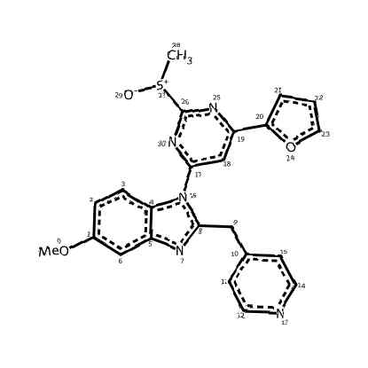 COc1ccc2c(c1)nc(Cc1ccncc1)n2-c1cc(-c2ccco2)nc([S+](C)[O-])n1